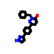 O=c1ccc(-c2ccc(-c3cc[nH]n3)cc2)nn1Cc1ccccc1